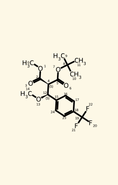 COC(=O)[C@@H](C(=O)OC(C)(C)C)[C@H](OC)c1ccc(C(F)(F)F)cc1